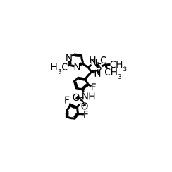 Cc1nccc(C2N=S(C(C)(C)C)N=C2c2cccc(NS(=O)(=O)c3c(F)cccc3F)c2F)n1